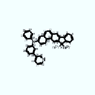 CCCC1(CCC)c2ccccc2-c2cc3ccc4cc(N(c5ccccc5)c5cccc(-c6cccnc6)c5)ccc4c3cc21